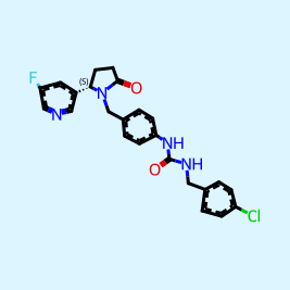 O=C(NCc1ccc(Cl)cc1)Nc1ccc(CN2C(=O)CC[C@H]2c2cncc(F)c2)cc1